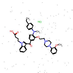 CCc1ccc(N(C)c2ccc(C(=O)c3cn(CCCC(=O)O)c4ccccc34)cc2OCCN2CCN(c3ccccc3OC)CC2)cc1.Cl